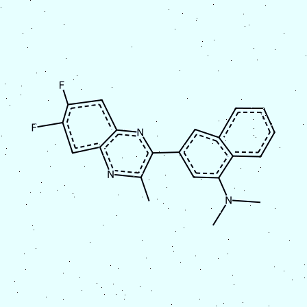 Cc1nc2cc(F)c(F)cc2nc1-c1cc(N(C)C)c2ccccc2c1